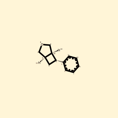 c1ccc([C@@H]2C[C@H]3COC[C@H]32)cc1